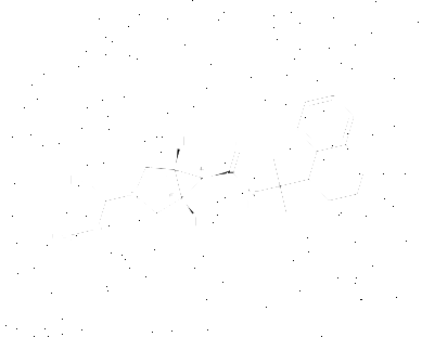 CC(C)(C)OC(O)N1C[C@@H]2[C@H](C1)[C@H]2C(=O)NC(C)(C)C1CCOc2ccccc21